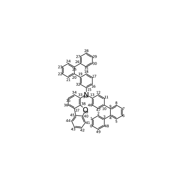 c1ccc(-c2ccccc2-c2ccc(N(c3cccc(-c4ccccc4-c4ccccc4)c3)c3cccc4c3oc3ccccc34)cc2)cc1